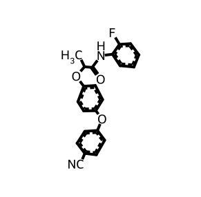 CC(Oc1ccc(Oc2ccc(C#N)cc2)cc1)C(=O)Nc1ccccc1F